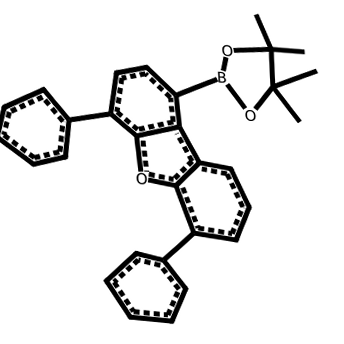 CC1(C)OB(c2ccc(-c3ccccc3)c3oc4c(-c5ccccc5)cccc4c23)OC1(C)C